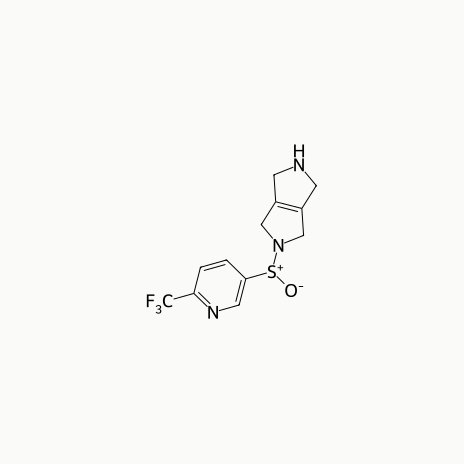 [O-][S+](c1ccc(C(F)(F)F)nc1)N1CC2=C(CNC2)C1